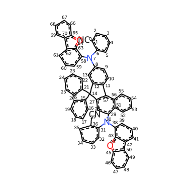 N#Cc1ccccc1N(c1ccc2c(c1)C(c1ccccc1)(c1ccccc1)c1cc(N(c3ccccc3C#N)c3cccc4c3oc3ccccc34)c3ccccc3c1-2)c1cccc2c1oc1ccccc12